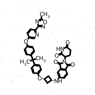 Cc1nc(-c2ccc(Oc3ccc(C(C)(C)c4ccc(O[C@H]5C[C@@H](Nc6ccc7c(c6)C(=O)N(C6CCC(=O)NC6=O)C7=O)C5)cc4)cc3)cn2)no1